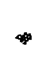 COc1cc2ncnc(Cl)c2c(O[C@@H]2CCN(C)CC2(F)F)c1OC